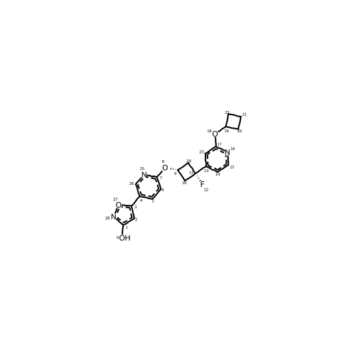 Oc1cc(-c2ccc(O[C@H]3C[C@](F)(c4ccnc(OC5CCC5)c4)C3)nc2)on1